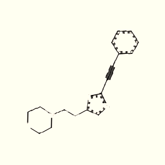 C(#Cc1ncc(CCN2CCOCC2)s1)c1ccccc1